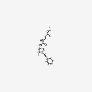 CCOC(=O)CCNC(=O)Nc1nc(C)c(C#Cc2ccncc2)s1